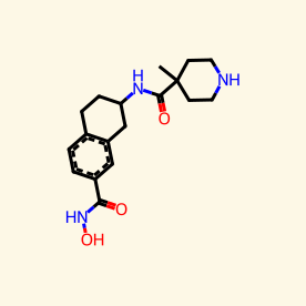 CC1(C(=O)NC2CCc3ccc(C(=O)NO)cc3C2)CCNCC1